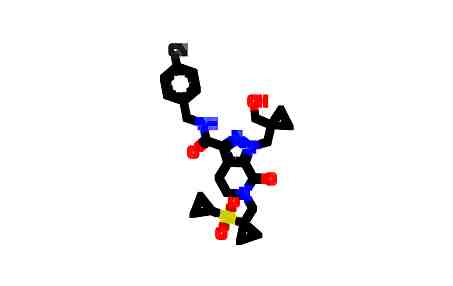 N#Cc1ccc(CNC(=O)c2nn(CC3(CO)CC3)c3c2CCN(CC2(S(=O)(=O)C4CC4)CC2)C3=O)cc1